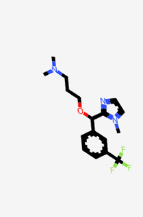 CN(C)CCCOC(c1cccc(C(F)(F)F)c1)c1nccn1C